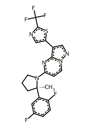 C[C@]1(c2cc(F)ccc2F)CCCN1c1ccn2ncc(-c3cnc(C(F)(F)F)s3)c2n1